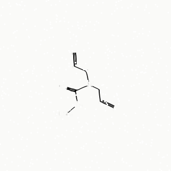 C=CCN(CC=C)C(=O)O[SiH3]